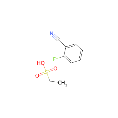 CCS(=O)(=O)O.N#Cc1ccccc1F